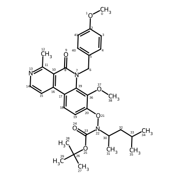 COc1ccc(Cn2c(=O)c3c(C)nccc3c3ccc(ON(C(=O)OC(C)(C)C)C(C)CC(C)C)c(OC)c32)cc1